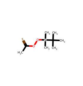 CC(=S)OO[Si](C)(C)C(C)(C)C